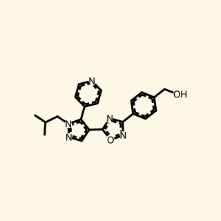 CC(C)Cn1ncc(-c2nc(-c3ccc(CO)cc3)no2)c1-c1ccncc1